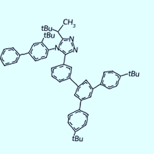 CC(c1nnc(-c2cccc(-c3cc(-c4ccc(C(C)(C)C)cc4)cc(-c4ccc(C(C)(C)C)cc4)c3)c2)n1-c1ccc(-c2ccccc2)cc1C(C)(C)C)C(C)(C)C